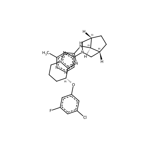 Cc1cc(N2C[C@H]3CC[C@@H](C2)[C@@H]3Nc2nc3n(n2)CCC[C@H]3Oc2cc(F)cc(Cl)c2)cnn1